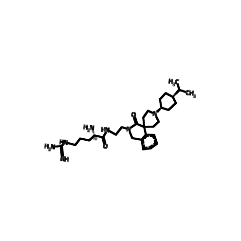 CC(C)[C@H]1CC[C@@H](N2CCC3(CC2)C(=O)N(CCNC(=O)[C@@H](N)CCCNC(=N)N)Cc2ccccc23)CC1